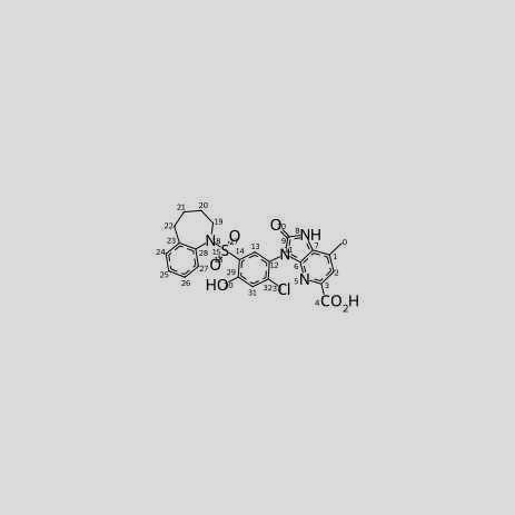 Cc1cc(C(=O)O)nc2c1[nH]c(=O)n2-c1cc(S(=O)(=O)N2CCCCc3ccccc32)c(O)cc1Cl